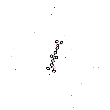 c1ccc(-c2oc3cc(-c4ccc(-c5c6ccccc6c(-c6ccc(-c7ccc8c(-c9ccccc9)c(-c9ccccc9)oc8c7)cc6)c6ccccc56)cc4)ccc3c2-c2ccccc2)cc1